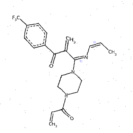 C=CC(=O)N1CCN(/C(=N/C=C\C)C(=C)C(=O)c2ccc(C(F)(F)F)cc2)CC1